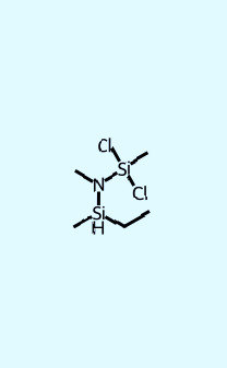 CC[SiH](C)N(C)[Si](C)(Cl)Cl